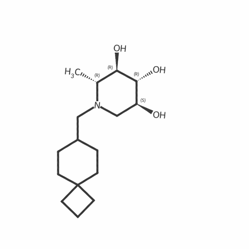 C[C@@H]1[C@@H](O)[C@H](O)[C@@H](O)CN1CC1CCC2(CCC2)CC1